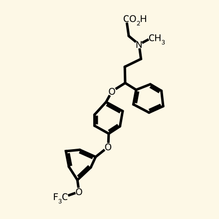 CN(CCC(Oc1ccc(Oc2cccc(OC(F)(F)F)c2)cc1)c1ccccc1)CC(=O)O